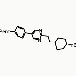 CCCCCc1ccc(-c2cnc(CC[C@H]3CC[C@H](CCCC)CC3)nc2)cc1